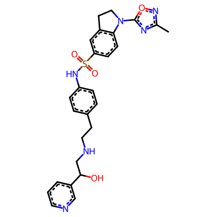 Cc1noc(N2CCc3cc(S(=O)(=O)Nc4ccc(CCNCC(O)c5cccnc5)cc4)ccc32)n1